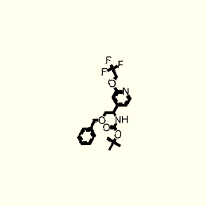 CC(C)(C)OC(=O)NC(COCc1ccccc1)c1ccnc(OCC(F)(F)F)c1